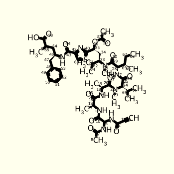 C#CC(=O)NC(NC(C)=O)C(=O)N[C@@H](C)C(=O)N[C@@H](C)C(=O)N(C)[C@H](C(=O)N[C@H](C(=O)N(C)[C@H](C[C@@H](OC(C)=O)c1nc(C(=O)N[C@@H](Cc2ccccc2)CC(C)C(=O)O)cs1)C(C)C)[C@@H](C)CC)C(C)C